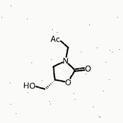 CC(=O)CN1C[C@@H](CO)OC1=O